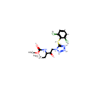 CCCCOC(=O)NC(CC(=O)O)C(=O)Cn1nnnc1Sc1c(Cl)cccc1Cl